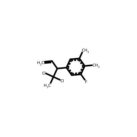 C=CC(c1cc(C)c(C)c(F)c1)C(C)(Cl)Cl